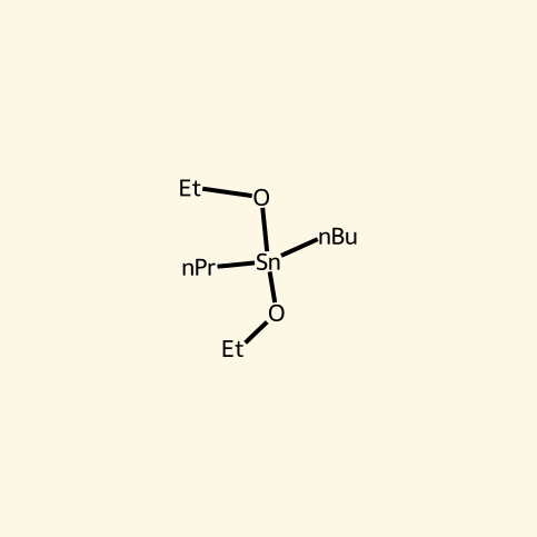 CCC[CH2][Sn]([CH2]CC)([O]CC)[O]CC